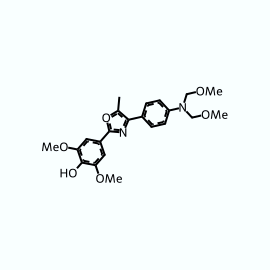 COCN(COC)c1ccc(-c2nc(-c3cc(OC)c(O)c(OC)c3)oc2C)cc1